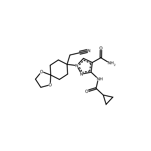 N#CCC1(n2cc(C(N)=O)c(NC(=O)C3CC3)n2)CCC2(CC1)OCCO2